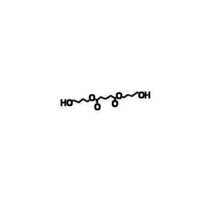 O=C(CCCC(=O)OCCCCO)OCCCCO